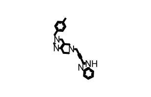 Cc1ccc(CN2C=NC3=C(C2)CN(CC#Cc2nc4ccccc4[nH]2)CC3)cc1